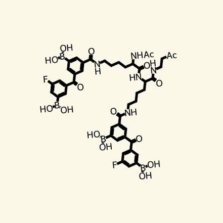 CC(=O)CCNC(=O)C(CCCCNC(=O)c1cc(B(O)O)cc(C(=O)c2cc(F)cc(B(O)O)c2)c1)NC(=O)C(CCCCNC(=O)c1cc(B(O)O)cc(C(=O)c2cc(F)cc(B(O)O)c2)c1)NC(C)=O